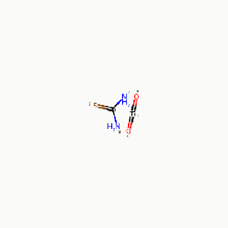 NC(N)=S.[O]=[Ti]=[O]